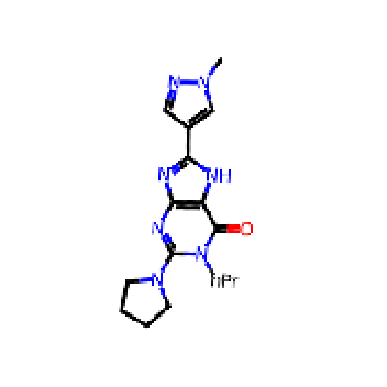 CCCn1c(N2CCCC2)nc2nc(-c3cnn(C)c3)[nH]c2c1=O